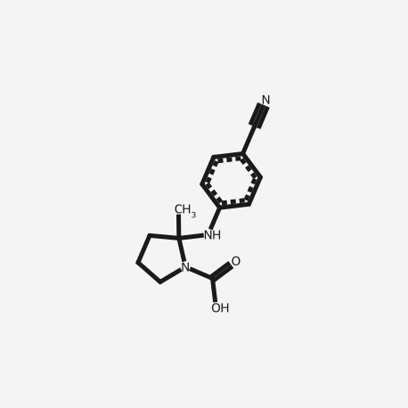 CC1(Nc2ccc(C#N)cc2)CCCN1C(=O)O